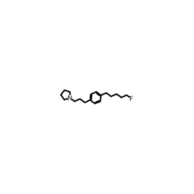 FCCCCCc1ccc(CCCN2CCCC2)cc1